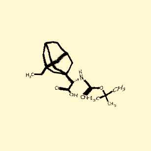 CCC12CC3CC(C1)CC([C@H](NC(=O)OC(C)(C)C)C(=O)O)(C3)C2